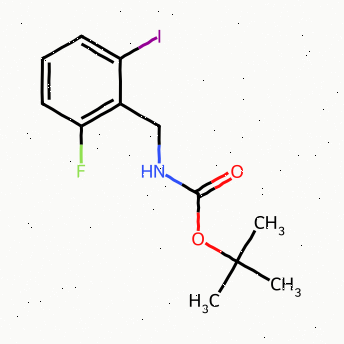 CC(C)(C)OC(=O)NCc1c(F)cccc1I